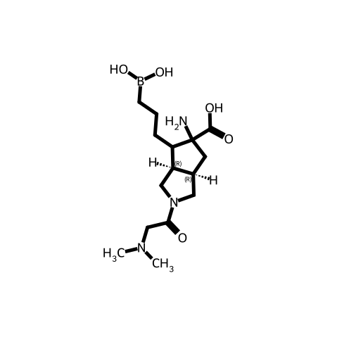 CN(C)CC(=O)N1C[C@@H]2CC(N)(C(=O)O)C(CCCB(O)O)[C@@H]2C1